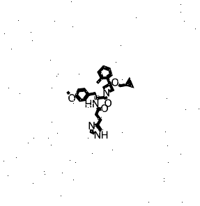 COc1ccc(C[C@H](NC(=O)CCc2c[nH]cn2)C(=O)N2CC(OCC3CC3)(c3ccccc3C)C2)cc1